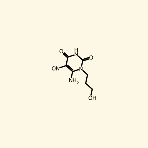 Nc1c(N=O)c(=O)[nH]c(=O)n1CCCO